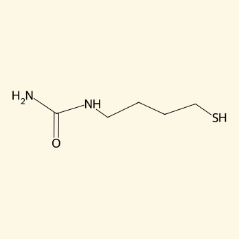 NC(=O)NCCCCS